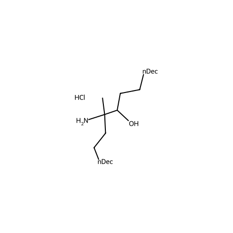 CCCCCCCCCCCCC(O)C(C)(N)CCCCCCCCCCCC.Cl